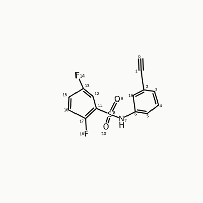 [C]#Cc1cccc(NS(=O)(=O)c2cc(F)ccc2F)c1